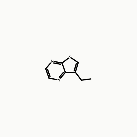 CCc1csc2nccnc12